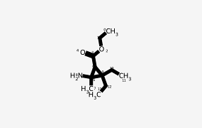 CCOC(=O)C1C(C)(N)C1(CC)CC